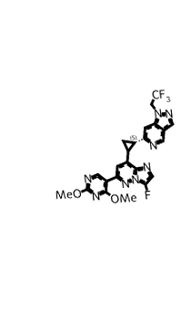 COc1ncc(-c2cc(C3C[C@@H]3c3cc4c(cn3)cnn4CC(F)(F)F)c3ncc(F)n3n2)c(OC)n1